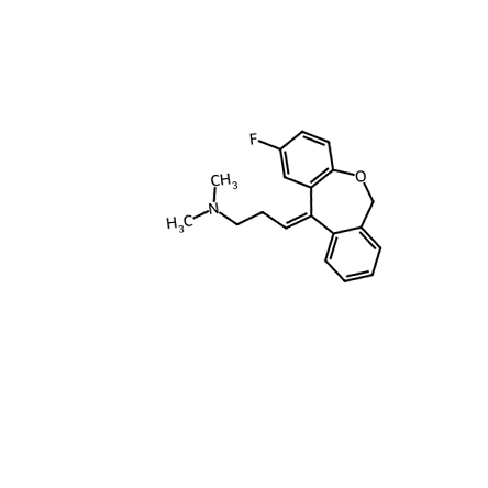 CN(C)CCC=C1c2ccccc2COc2ccc(F)cc21